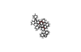 c1ccc(-n2c3ccccc3c3c(-c4ccccc4N(c4ccc(-c5cccc6oc7ccccc7c56)cc4)c4ccccc4-c4cccc5cccc(C6CCCCC6)c45)cccc32)cc1